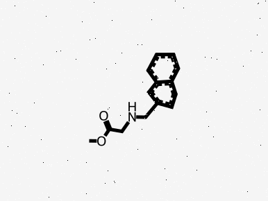 COC(=O)CNCc1ccc2ccccc2c1